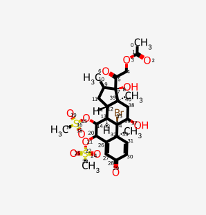 CC(=O)OCC(=O)[C@@]1(O)C(C)C[C@H]2[C@@H]3C(OS(C)(=O)=O)C(OS(C)(=O)=O)C4=CC(=O)C=C[C@]4(C)[C@@]3(Br)C(O)C[C@@]21C